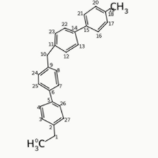 CCc1ccc(-c2ccc(Cc3ccc(-c4ccc(C)cc4)cc3)cc2)cc1